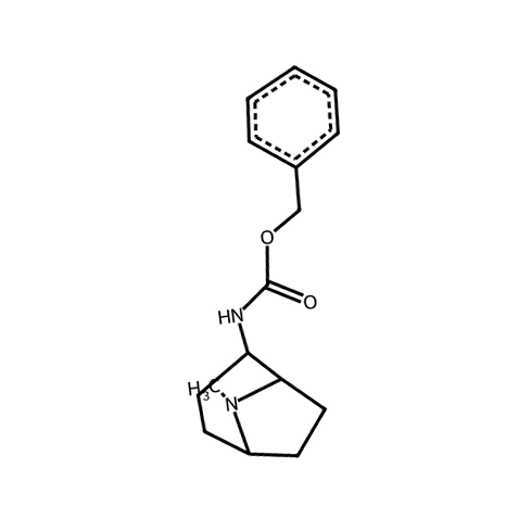 CN1C2CCC(NC(=O)OCc3ccccc3)C1CC2